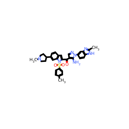 Cc1ccc(S(=O)(=O)n2c(C(=O)c3cnn(-c4ccc5[nH]c(C)nc5c4)c3N)cc3ccc(C4CCN(C)CC4)cc32)cc1